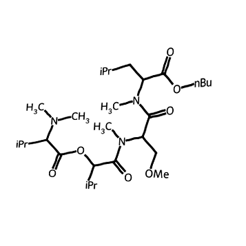 CCCCOC(=O)C(CC(C)C)N(C)C(=O)C(COC)N(C)C(=O)C(OC(=O)C(C(C)C)N(C)C)C(C)C